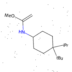 C=C(NC1CCC(C(C)C)(C(C)(C)C)CC1)OC